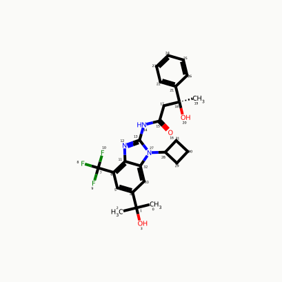 CC(C)(O)c1cc(C(F)(F)F)c2nc(NC(=O)C[C@](C)(O)c3ccccc3)n(C3CCC3)c2c1